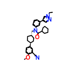 CCn1cc(-c2cccc(N(C[C@H]3CC[C@H](c4ccc(OC)c(C#N)c4)CC3)C(=O)C3CCCCC3)c2)cn1